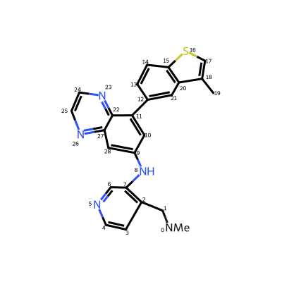 CNCc1ccncc1Nc1cc(-c2ccc3scc(C)c3c2)c2nccnc2c1